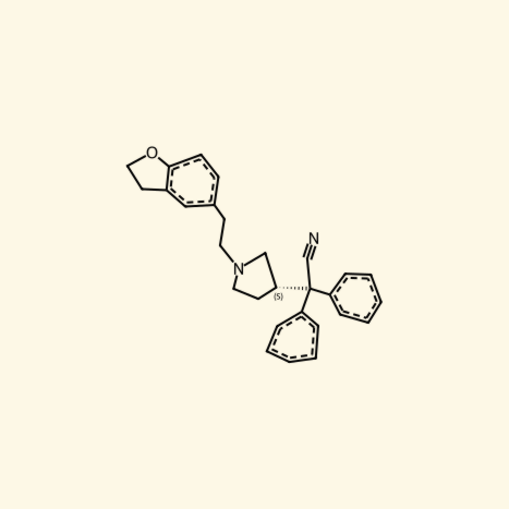 N#CC(c1ccccc1)(c1ccccc1)[C@@H]1CCN(CCc2ccc3c(c2)CCO3)C1